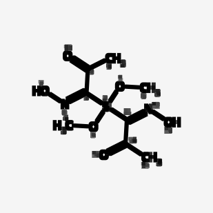 CO[Si](OC)(C(=NO)C(C)=O)C(=NO)C(C)=O